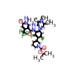 CC(C)OC(=O)N1CCC=C(c2c(F)cc(N3C[C@@H](C)N(C)[C@@H](C)C3)c(NC(=O)c3c[nH]c(=O)cc3C(F)(F)F)c2F)C1